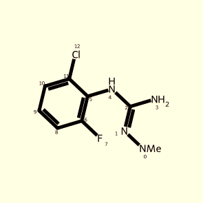 CNN=C(N)Nc1c(F)cccc1Cl